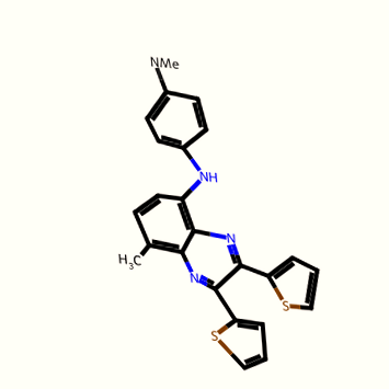 CNc1ccc(Nc2ccc(C)c3nc(-c4cccs4)c(-c4cccs4)nc23)cc1